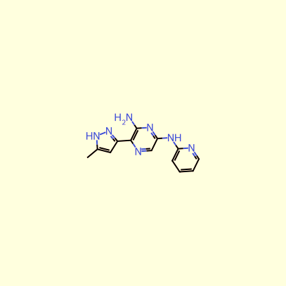 Cc1cc(-c2ncc(Nc3ccccn3)nc2N)n[nH]1